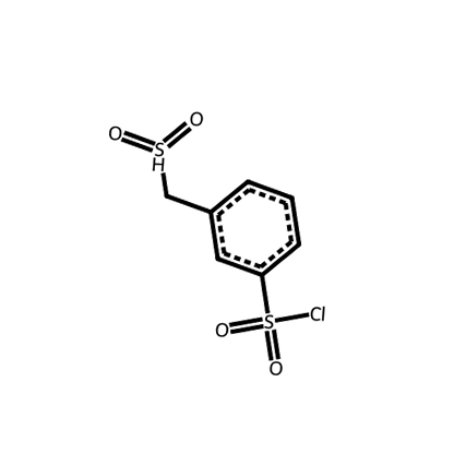 O=[SH](=O)Cc1cccc(S(=O)(=O)Cl)c1